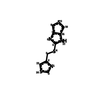 c1nc(CSc2nc3cscc3[nH]2)cs1